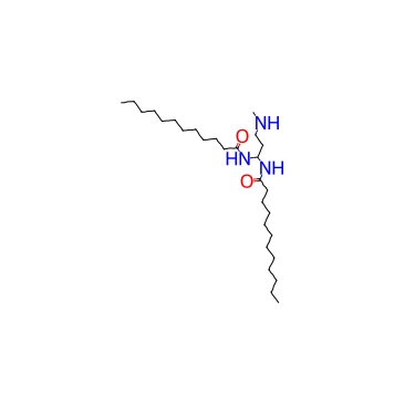 CCCCCCCCCCCC(=O)NC(CCNC)NC(=O)CCCCCCCCCCC